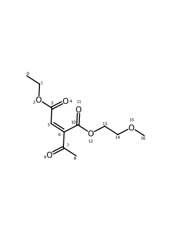 CCOC(=O)C=C(C(C)=O)C(=O)OCCOC